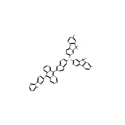 CCCCC1(CCCC)c2cc(C)ccc2-c2ccc(N(c3ccc4c(c3)C(CCCC)(CCCC)c3cc(C)ccc3-4)c3ccc4cc(-c5c6ccccc6c(-c6ccc7c(c6)sc6ccccc67)c6ccccc56)ccc4c3)cc21